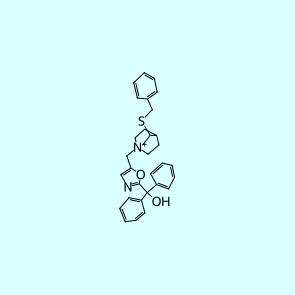 OC(c1ccccc1)(c1ccccc1)c1ncc(C[N+]23CCC(CC2)C(SCc2ccccc2)C3)o1